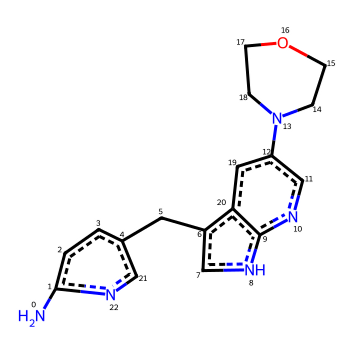 Nc1ccc(Cc2c[nH]c3ncc(N4CCOCC4)cc23)cn1